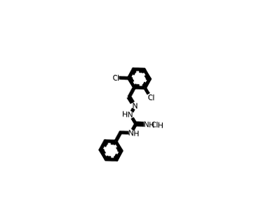 Cl.N=C(NCc1ccccc1)NN=Cc1c(Cl)cccc1Cl